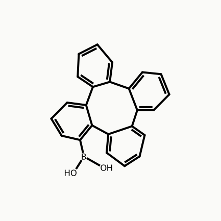 OB(O)c1cccc2c1-c1ccccc1-c1ccccc1-c1ccccc1-2